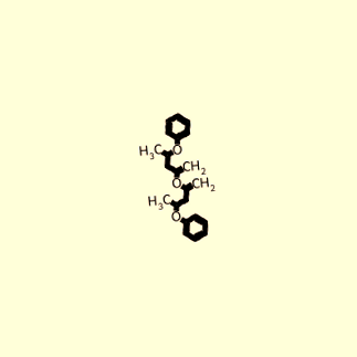 C=C(CC(C)Oc1ccccc1)OC(=C)CC(C)Oc1ccccc1